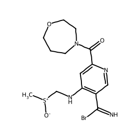 C[S+]([O-])CNc1cc(C(=O)N2CCCOCC2)ncc1C(=N)Br